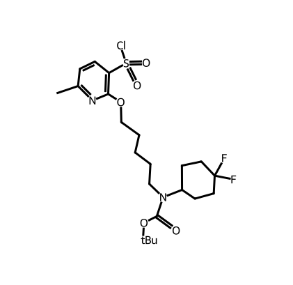 Cc1ccc(S(=O)(=O)Cl)c(OCCCCCN(C(=O)OC(C)(C)C)C2CCC(F)(F)CC2)n1